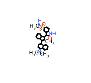 CNS(=O)(=O)c1ccc2c(c1)C(C1C(C)=C(c3ccc(N(C)C)c4ccccc34)c3ccccc31)C(=O)N2